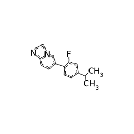 CC(C)c1ccc(-c2ccc3nccn3c2)c(F)c1